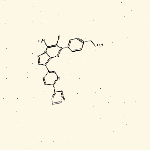 Nc1c(Br)c(-c2ccc(CC(=O)O)cc2)nc2c(-c3ccc(-c4cccnc4)nc3)cnn12